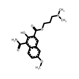 COc1ccc2c(C(N)=O)c(O)c(C(=O)OCCCN(C)C)cc2c1